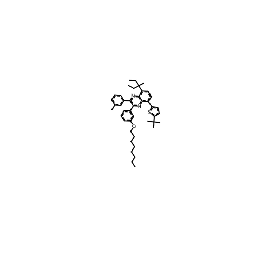 CCCCCCCCOc1cccc(-c2nc3c(-c4ccc(C(C)(C)C)s4)ccc(C(C)(CC)CC)c3nc2-c2cccc(C)c2)c1